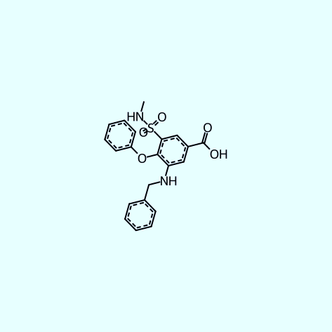 CNS(=O)(=O)c1cc(C(=O)O)cc(NCc2ccccc2)c1Oc1ccccc1